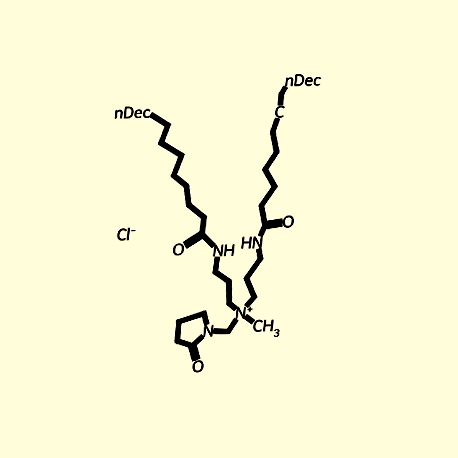 CCCCCCCCCCCCCCCCCC(=O)NCCC[N+](C)(CCCNC(=O)CCCCCCCCCCCCCCCCC)CN1CCCC1=O.[Cl-]